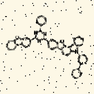 c1ccc(-c2cccc(-n3c4ccccc4c4c5oc6cc(-c7nc(-c8ccccc8)nc(-c8ccc9c(c8)oc8ccccc89)n7)ccc6c5ccc43)c2)cc1